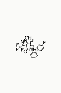 Cn1nc(C(F)(F)F)c(C(=O)Nc2ccccc2-c2ccc(F)cc2Cl)c1F